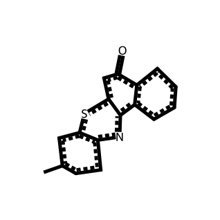 Cc1ccc2nc3c4ccccc4c(=O)cc-3sc2c1